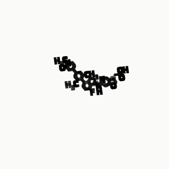 Cc1cc(-c2ccn(C)c(=O)c2)cc(C)c1-c1ccc(F)c2c1CC[C@H]2Nc1cc2c(cn1)[C@H](CC(=O)O)CO2